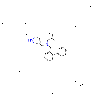 CC(C)CN(Cc1ccccc1-c1ccccc1)C[C@@H]1CCNC1